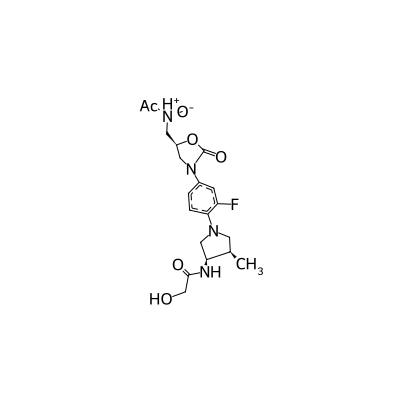 CC(=O)[NH+]([O-])C[C@@H]1CN(c2ccc(N3C[C@@H](C)[C@@H](NC(=O)CO)C3)c(F)c2)C(=O)O1